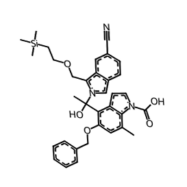 Cc1cc(OCc2ccccc2)c(C(C)(O)n2cc3ccc(C#N)cc3c2COCC[Si](C)(C)C)c2ccn(C(=O)O)c12